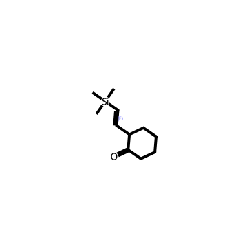 C[Si](C)(C)/C=C/C1CCCCC1=O